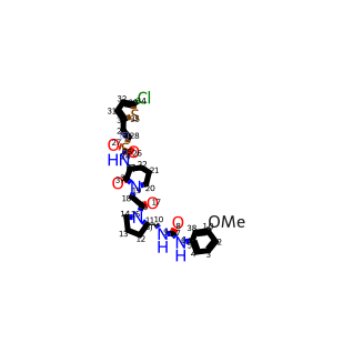 COc1cccc(NC(=O)NC[C@@H]2CCCN2C(=O)CN2CCC[C@H](NS(=O)(=O)/C=C/c3ccc(Cl)s3)C2=O)c1